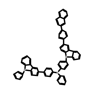 c1ccc(N(c2ccc(-c3ccc4c(c3)c3ccccc3n4-c3ccccc3)cc2)c2ccc(-n3c4ccccc4c4cc(-c5ccc(-c6ccc7ccccc7c6)cc5)ccc43)cc2)cc1